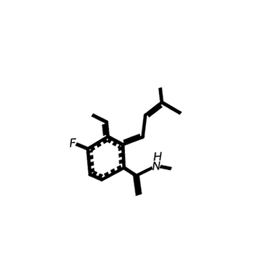 C=C(NC)c1ccc(F)c(=C\C)/c1=C\C=C(C)C